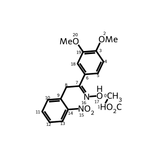 CC(=O)O.COc1ccc(C(Cc2ccccc2[N+](=O)[O-])=NO)cc1OC